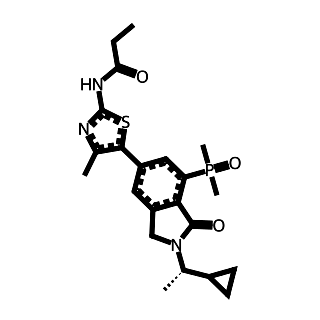 CCC(=O)Nc1nc(C)c(-c2cc3c(c(P(C)(C)=O)c2)C(=O)N([C@@H](C)C2CC2)C3)s1